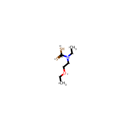 CCOCCN(CC)C(=S)S